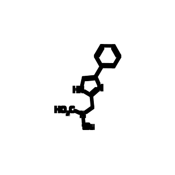 CC(C)(C)N(Cc1nc(-c2ccccc2)c[nH]1)C(=O)O